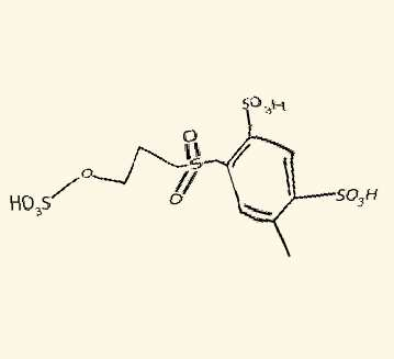 Cc1cc(S(=O)(=O)CCOS(=O)(=O)O)c(S(=O)(=O)O)cc1S(=O)(=O)O